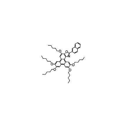 CCCCCOc1cc2c3cc(OCCCCC)c(OCCCCC)cc3c3c(cc(OCCCCC)c4oc(-c5ccc6ccccc6c5)nc43)c2cc1OCCCCC